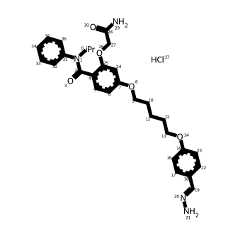 CC(C)N(C(=O)c1ccc(OCCCCCOc2ccc(C=NN)cc2)cc1OCC(N)=O)c1ccccc1.Cl